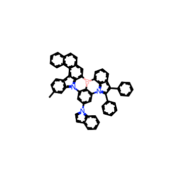 Cc1ccc2c3c4c(ccc5ccccc54)cc4c3n(c2c1)-c1cc(-n2ccc3ccccc32)cc2c1B4c1cccc3c(-c4ccccc4)c(-c4ccccc4)n-2c13